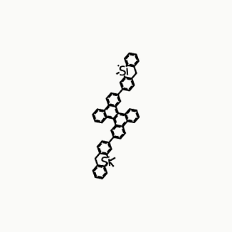 C[Si]1(C)c2ccccc2Cc2ccc(-c3ccc4c5ccccc5c5c6cc(-c7ccc8c(c7)[Si](C)(C)c7ccccc7C8)ccc6c6ccccc6c5c4c3)cc21